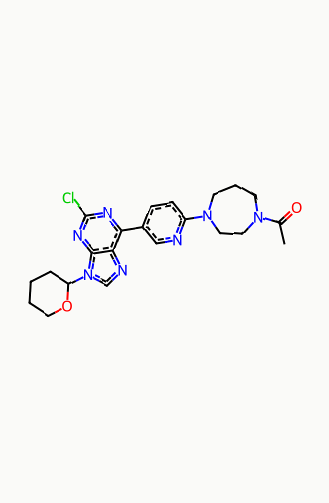 CC(=O)N1CCCN(c2ccc(-c3nc(Cl)nc4c3ncn4C3CCCCO3)cn2)CC1